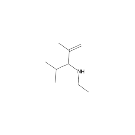 C=C(C)C(NCC)C(C)C